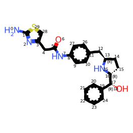 Nc1nc(CC(=O)Nc2ccc(C[C@H]3CC[C@H]([C@H](O)c4ccccc4)N3)cc2)cs1